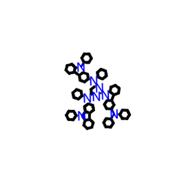 c1ccc(N(c2ccccc2)c2ccc3c(c2)c2ccccc2n3-c2nc(N(c3ccccc3)c3ccc4c5ccccc5n(-c5ccccc5)c4c3)cc(N(c3ccccc3)c3ccc4c5ccccc5n(-c5ccccc5)c4c3)n2)cc1